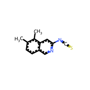 Cc1ccc2cnc(N=C=S)cc2c1C